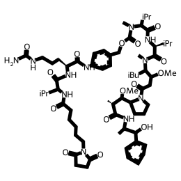 CCC(C)C(C(CC(=O)N1CCCC1C(OC)[C@@H](C)C(=O)NC(C)C(O)c1ccccc1)OC)N(C)C(=O)[C@@H](NC(=O)C(C(C)C)N(C)C(=O)OCc1ccc(NC(=O)[C@H](CCCNC(N)=O)NC(=O)C(NC(=O)CCCCCN2C(=O)CCC2=O)C(C)C)cc1)C(C)C